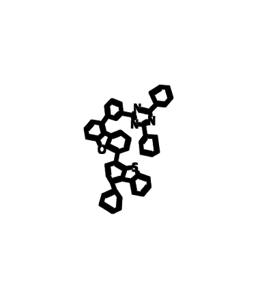 c1ccc(-c2nc(-c3ccccc3)nc(-c3cccc(-c4cccc5oc6c(-c7ccc(-c8ccccc8)c8c7sc7ccccc78)cccc6c45)c3)n2)cc1